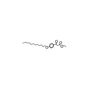 CCCCCCCCCCCCOc1ccc(C(=O)CC(=O)OCC)cc1